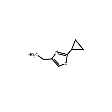 O=C(O)Cc1coc(C2CC2)n1